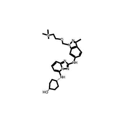 Cc1nn(COCC[Si](C)(C)C)c2cc(Nc3nc4cccc(N[C@H]5CC[C@@H](O)CC5)n4n3)ccc12